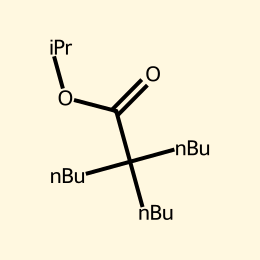 CCCCC(CCCC)(CCCC)C(=O)OC(C)C